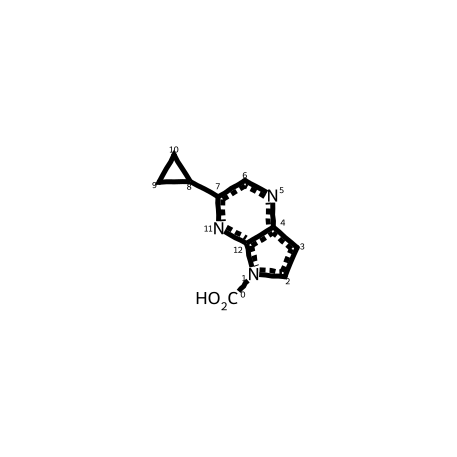 O=C(O)n1ccc2ncc(C3CC3)nc21